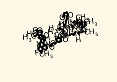 CC[C@@]1(O)C(=O)OCc2c1cc1n(c2=O)Cc2c-1nc1cc(F)c(C)c3c1c2[C@@H](NC(=O)OCc1ccc(NC(=O)[C@H](CCCCNC(=O)CN(C)C(=O)CN(C)C(=O)CN(C)C(=O)CN(C)C(C)=O)NC(=O)[C@@H](NC(=O)CCCN2C(=O)C=CC2=O)C(C)C)cc1)CC3